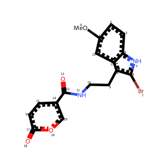 COc1ccc2[nH]c(Br)c(CCNC(=O)c3ccc(=O)oc3)c2c1